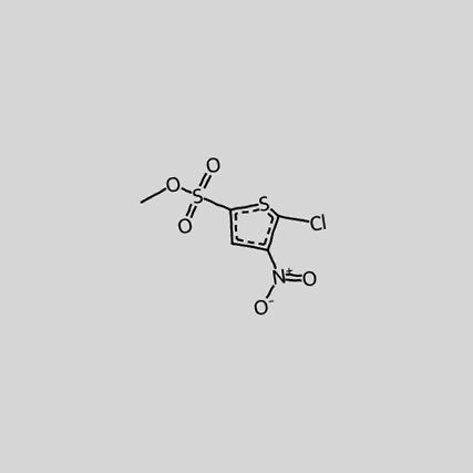 COS(=O)(=O)c1cc([N+](=O)[O-])c(Cl)s1